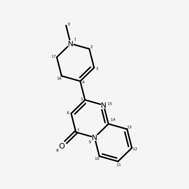 CN1CC=C(c2cc(=O)n3ccccc3n2)CC1